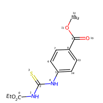 CCOC(=O)NC(=S)Nc1ccc(C(=O)OC(C)(C)C)cc1